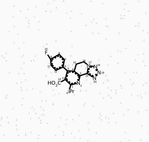 CC(C)c1nc2c(c(-c3ccc(F)cc3)c1C(=O)O)CCn1nnnc1-2